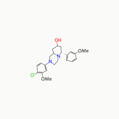 COc1cccc([C@H]2CC(O)CC3CN(c4ccc(Cl)c(OC)c4)CCN32)c1